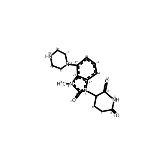 Cn1c(=O)n(C2CCC(=O)NC2=O)c2cccc(N3CCNCC3)c21